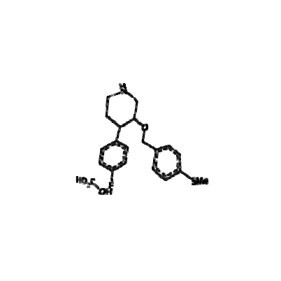 CSc1ccc(COC2CNCCC2c2ccc(F)cc2)cc1.O=C(O)O